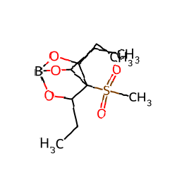 CCC1OB2OC(CC)C1(S(C)(=O)=O)C(CC)O2